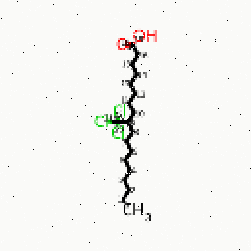 CCCCCCCCCC(CCCCCCCC(=O)O)C(Cl)(Cl)Cl